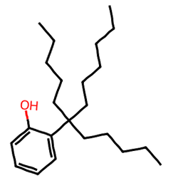 CCCCCCC(CCCCC)(CCCCC)c1ccccc1O